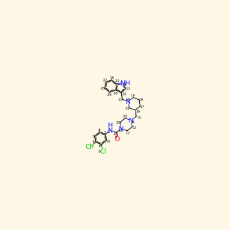 O=C(Nc1ccc(Cl)c(Cl)c1)N1CCN(C[C@@H]2CCCN(Cc3c[nH]c4ccccc34)C2)CC1